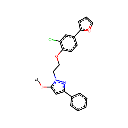 CCOc1cc(-c2ccccc2)nn1CCOc1ccc(-c2ccco2)cc1Cl